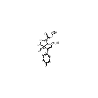 CCOC(=O)C=C(c1ccc(F)cc1)C1(F)CCN(C(=O)OC(C)(C)C)C1